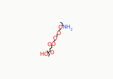 CCC(N)OCCOCCOCCOC(=O)CCC(=O)C(C)(O)CC